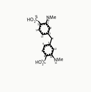 CNc1cc(Cc2ccc(C(=O)O)c(NC)c2)ccc1C(=O)O